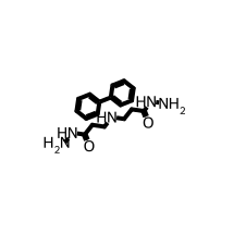 NNC(=O)CCNCCC(=O)NN.c1ccc(-c2ccccc2)cc1